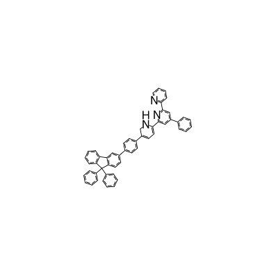 C1=C(c2ccc(-c3ccc4c(c3)-c3ccccc3C4(c3ccccc3)c3ccccc3)cc2)CNC(c2cc(-c3ccccc3)cc(-c3ccccn3)n2)=C1